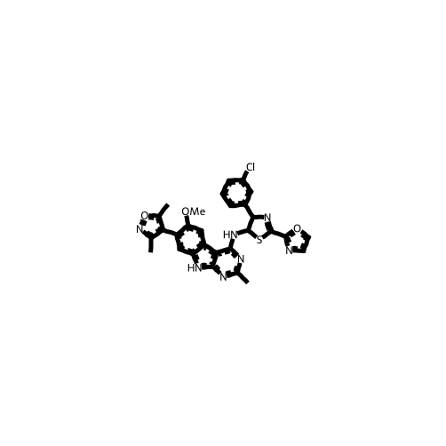 COc1cc2c(cc1-c1c(C)noc1C)[nH]c1nc(C)nc(NC3SC(c4ncco4)=NC3c3cccc(Cl)c3)c12